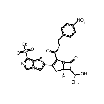 CCS(=O)(=O)c1ncn2cc(C3=C(C(=O)OCc4ccc([N+](=O)[O-])cc4)N4C(=O)[C@H]([C@@H](C)O)[C@H]4C3)sc12